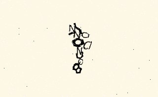 Cc1cc(=O)n(-c2ccc(N3CCC(Oc4cccc5c4C=CC5)CC3)c(Cl)c2)c(C)n1